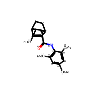 CCCCCCCCC1C2C=CC(CC2)C1C(=O)Nc1c(OC)cc(OC)cc1OC